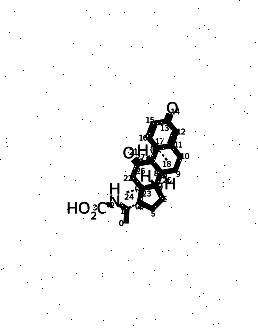 CC(NC(=O)O)[C@H]1CC[C@H]2[C@@H]3CCC4=CC(=O)C=C[C@]4(C)[C@H]3C(=O)C[C@]12C